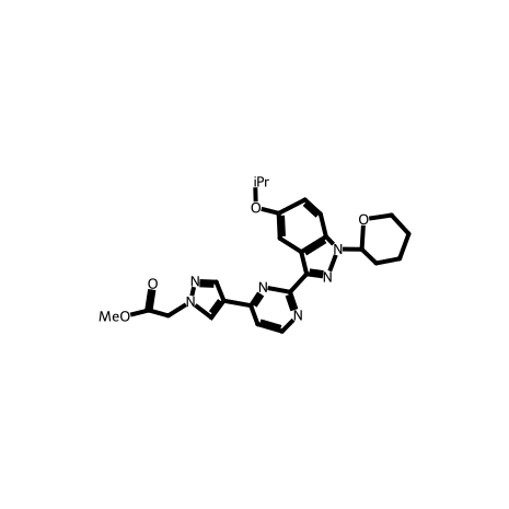 COC(=O)Cn1cc(-c2ccnc(-c3nn(C4CCCCO4)c4ccc(OC(C)C)cc34)n2)cn1